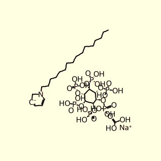 CCCCCCCCCCCCCCCCN1C=CC=[C-]C1.O=C(O)O.O=P(O)(O)O[C@H]1[C@H](OP(=O)(O)O)[C@@H](OP(=O)(O)O)[C@H](OP(=O)(O)O)[C@@H](OP(=O)(O)O)[C@H]1OP(=O)(O)O.[Na+]